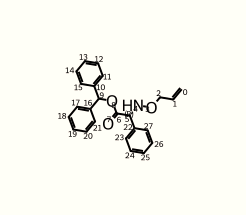 C=CCON[C@@H](C(=O)OC(c1ccccc1)c1ccccc1)c1ccccc1